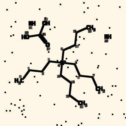 CCCC[N+](CCCC)(CCCC)CCCC.O=C(O)O.[KH].[KH]